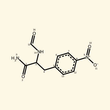 NC(=O)C(Cc1ccc([N+](=O)[O-])cc1)NC=O